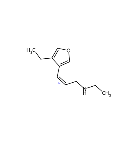 CCNC/C=C\c1cocc1CC